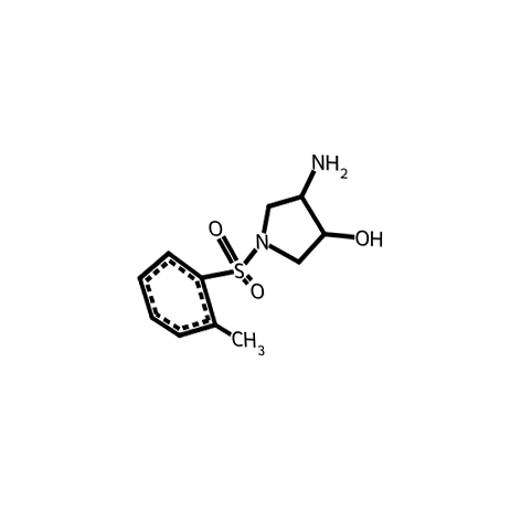 Cc1ccccc1S(=O)(=O)N1CC(N)C(O)C1